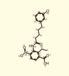 CCc1c(C(=O)O)ccc([N+](=O)[O-])c1NC(=O)CCCCc1cccc(Cl)c1